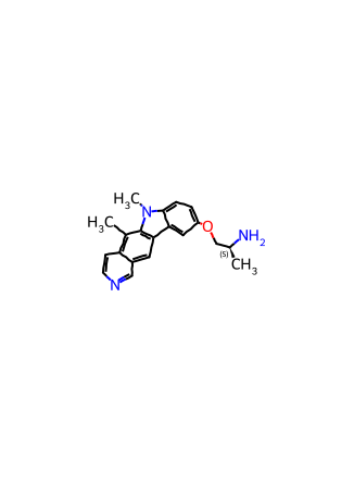 Cc1c2ccncc2cc2c3cc(OC[C@H](C)N)ccc3n(C)c12